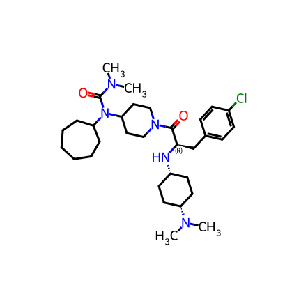 CN(C)C(=O)N(C1CCCCCC1)C1CCN(C(=O)[C@@H](Cc2ccc(Cl)cc2)N[C@H]2CC[C@@H](N(C)C)CC2)CC1